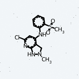 CN1Cc2c(Nc3ccccc3S(C)(=O)=O)cc(Cl)nc2N1